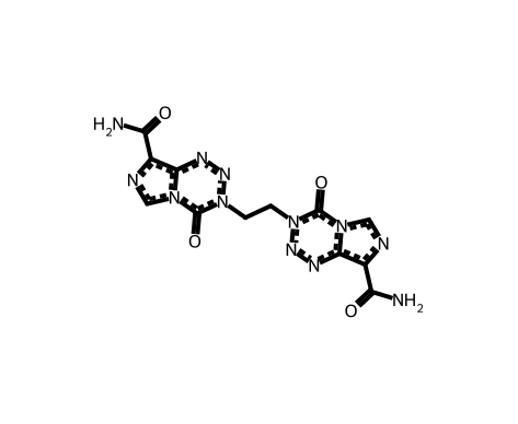 NC(=O)c1ncn2c(=O)n(CCn3nnc4c(C(N)=O)ncn4c3=O)nnc12